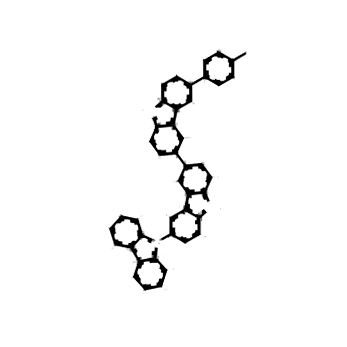 Cc1ccc(-c2ccc3oc4ccc(-c5ccc6oc7ccc(-n8c9ccccc9c9ccccc98)cc7c6c5)cc4c3c2)cc1